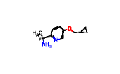 C[C@@H](N)c1ccc(OCC2CC2)cn1